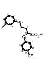 Cc1cccc(SCCC(Oc2ccc(C(F)(F)F)cc2)C(=O)O)c1